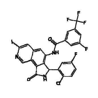 O=C(Nc1cc2cc(I)ncc2c2c1C(c1cc(F)ccc1Cl)NC2=O)c1cc(F)cc(C(F)(F)F)c1